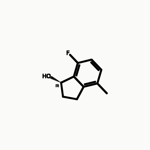 Cc1ccc(F)c2c1CC[C@@H]2O